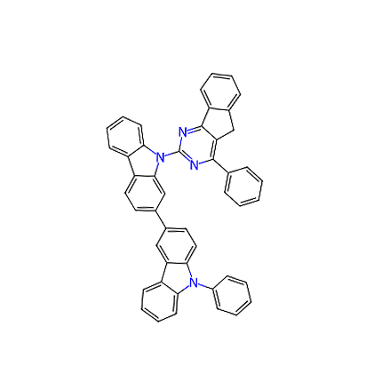 c1ccc(-c2nc(-n3c4ccccc4c4ccc(-c5ccc6c(c5)c5ccccc5n6-c5ccccc5)cc43)nc3c2Cc2ccccc2-3)cc1